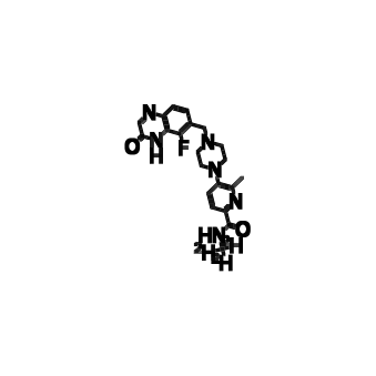 [2H]C([2H])([2H])NC(=O)c1ccc(N2CCN(Cc3ccc4ncc(=O)[nH]c4c3F)CC2)c(C)n1